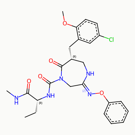 CC[C@@H](NC(=O)N1C/C(=N/Oc2ccccc2)NC[C@@H](Cc2cc(Cl)ccc2OC)C1=O)C(=O)NC